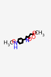 CONc1ccc(-c2cc(CC(=O)OC)on2)cc1